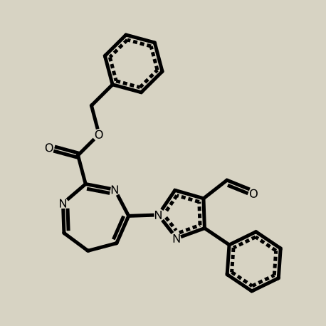 O=Cc1cn(C2=CCC=NC(C(=O)OCc3ccccc3)=N2)nc1-c1ccccc1